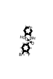 O=S(=O)(Nc1cnccc1O)c1ccc(Br)c(F)c1